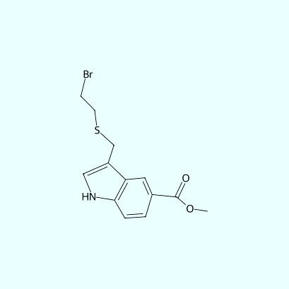 COC(=O)c1ccc2[nH]cc(CSCCBr)c2c1